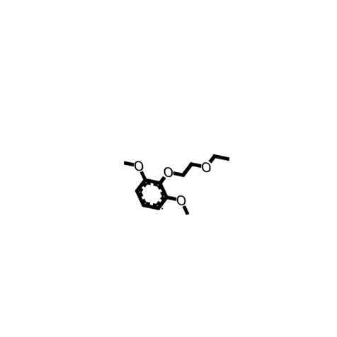 CCOCCOc1c(OC)[c]ccc1OC